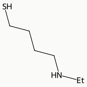 CCNCCCCS